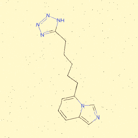 c1cc(CCCCCc2nnn[nH]2)n2cncc2c1